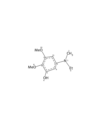 CCN(C)c1cc(O)c(OC)c(OC)c1